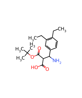 CCc1ccc(C(N)C(C(=O)O)C(=O)OC(C)(C)C)cc1CC